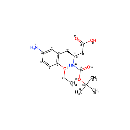 CCOc1ccc(N)cc1C[C@@H](CC(=O)O)NC(=O)OC(C)(C)C